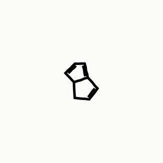 C1=CC2CC=CC2=C1